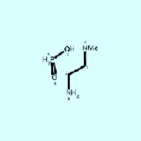 CNCCN.O=[PH2]O